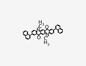 CCn1c2ccc(-c3cccc4ccccc34)cc2c(=O)c2cc3c(cc21)c(=O)c1cc(-c2cccc4ccccc24)ccc1n3CC